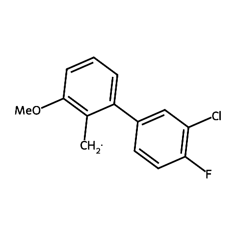 [CH2]c1c(OC)cccc1-c1ccc(F)c(Cl)c1